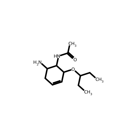 CCC(CC)OC1C=CCC(N)C1NC(C)=O